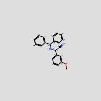 COc1cccc(C(C#N)NC(c2ccccc2)c2ccccc2)c1